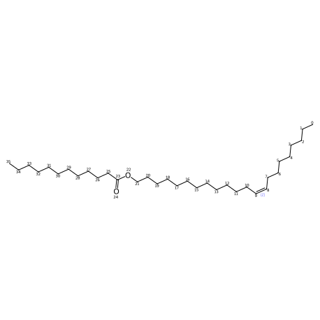 CCCCCCCC/C=C\CCCCCCCCCCCCOC(=O)CCCCCCCCCCC